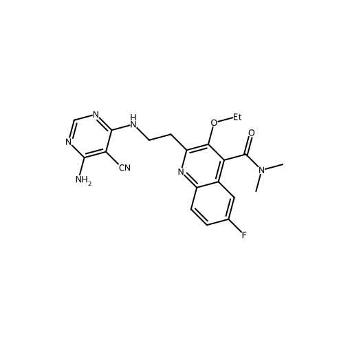 CCOc1c(CCNc2ncnc(N)c2C#N)nc2ccc(F)cc2c1C(=O)N(C)C